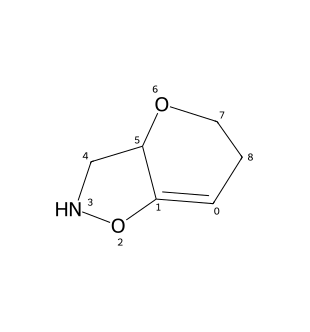 C1=C2ONCC2OCC1